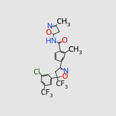 CC1=NOC(NC(=O)c2ccc(C3=NO[C@@](c4cc(Cl)cc(C(F)(F)F)c4)(C(F)(F)F)C3)cc2C)C1